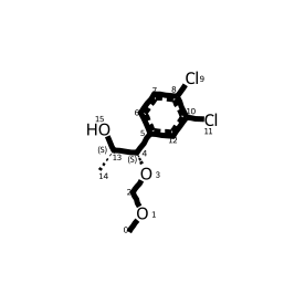 COCO[C@@H](c1ccc(Cl)c(Cl)c1)[C@H](C)O